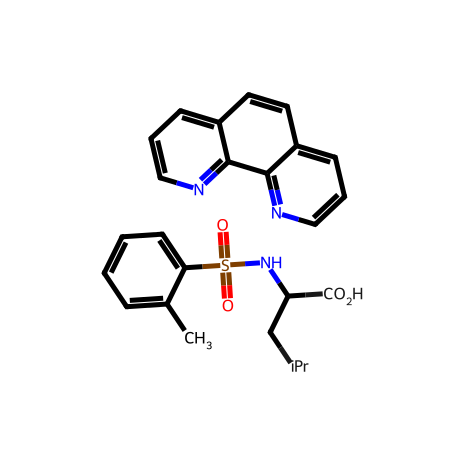 Cc1ccccc1S(=O)(=O)NC(CC(C)C)C(=O)O.c1cnc2c(c1)ccc1cccnc12